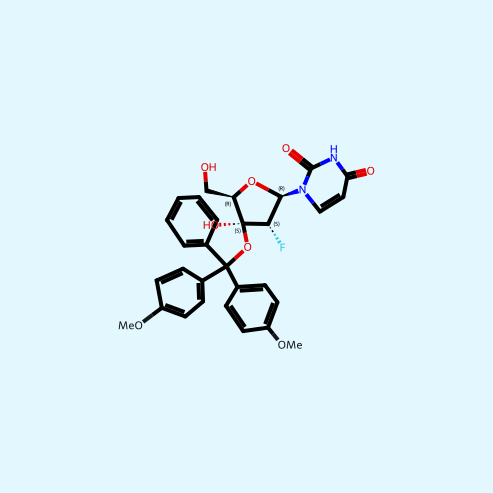 COc1ccc(C(O[C@@]2(O)[C@@H](CO)O[C@@H](n3ccc(=O)[nH]c3=O)[C@@H]2F)(c2ccccc2)c2ccc(OC)cc2)cc1